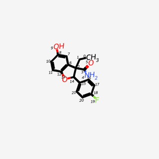 CCC1(C(N)=O)c2cc(O)ccc2OC1c1ccc(F)cc1